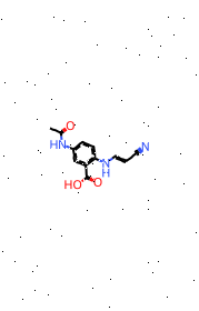 CC(=O)Nc1ccc(N/C=C/C#N)c(C(=O)O)c1